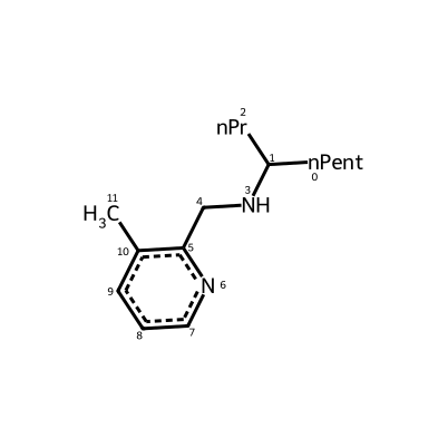 CCCCCC(CCC)NCc1ncccc1C